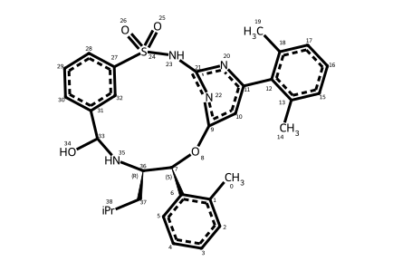 Cc1ccccc1[C@@H]1Oc2cc(-c3c(C)cccc3C)nc(n2)NS(=O)(=O)c2cccc(c2)C(O)N[C@@H]1CC(C)C